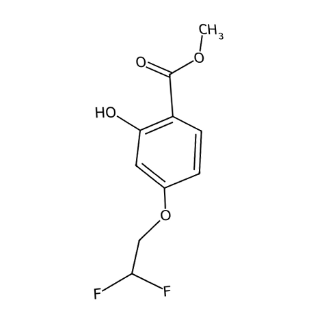 COC(=O)c1ccc(OCC(F)F)cc1O